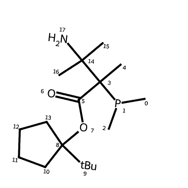 CP(C)C(C)(C(=O)OC1(C(C)(C)C)CCCC1)C(C)(C)N